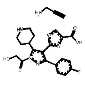 C#CCN.O=C(O)c1csc(-c2c(-c3ccc(F)cc3)nn(C(=O)CO)c2C2CCNCC2)n1